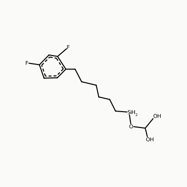 OC(O)O[SiH2]CCCCCCc1ccc(F)cc1F